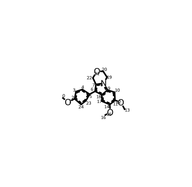 COc1ccc(-c2c3n(c4cc(OC)c(OC)cc24)CCOC3)cc1